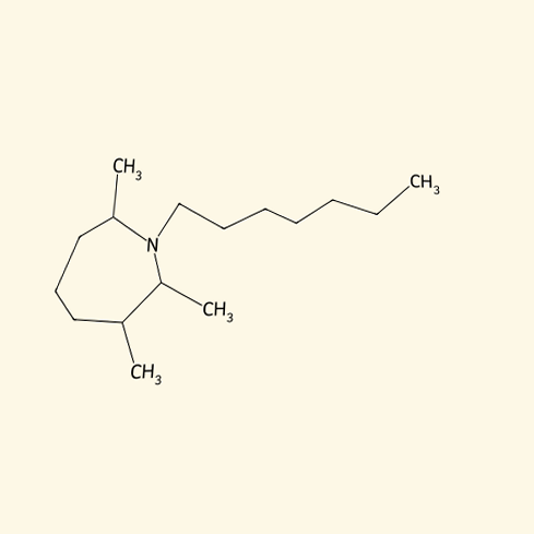 CCCCCCCN1C(C)CCCC(C)C1C